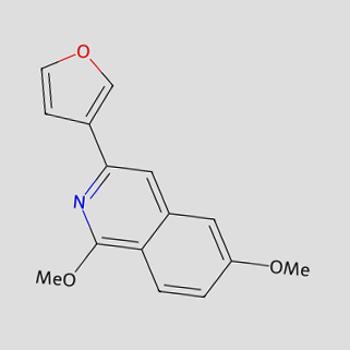 COc1ccc2c(OC)nc(-c3ccoc3)cc2c1